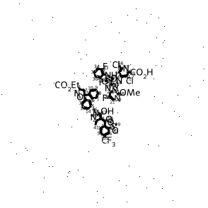 CCOC(=O)C1=NOC(c2ccccc2)(c2ccccc2)C1.COc1ncc(F)c2nc(S(=O)(=O)Nc3c(F)cccc3F)nn12.Cc1nn(C)c(O)c1C(=O)c1ccc(C(F)(F)F)cc1S(C)(=O)=O.Nc1cc(Cl)nc(C(=O)O)c1Cl